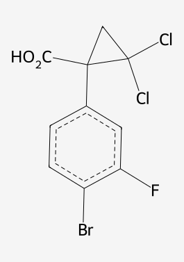 O=C(O)C1(c2ccc(Br)c(F)c2)CC1(Cl)Cl